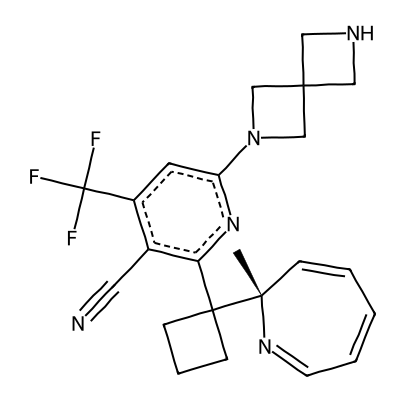 C[C@@]1(C2(c3nc(N4CC5(CNC5)C4)cc(C(F)(F)F)c3C#N)CCC2)C=CC=CC=N1